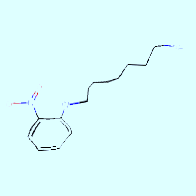 NCCCCCCNc1ccccc1[N+](=O)[O-]